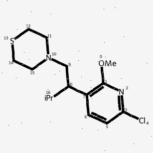 COc1nc(Cl)ccc1C(CN1CCSCC1)C(C)C